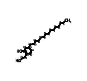 CCCCCCCCCCCCCCCc1ccc(CCO)c(O)c1